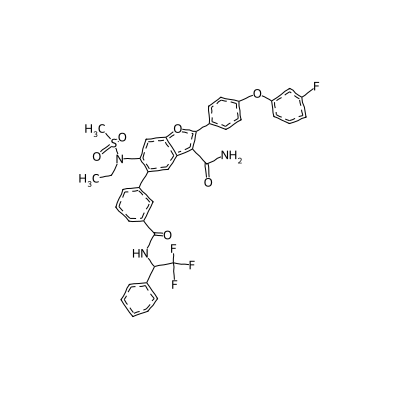 CCN(c1cc2oc(-c3ccc(Oc4cccc(F)c4)cc3)c(C(N)=O)c2cc1-c1cccc(C(=O)NC(c2ccccc2)C(F)(F)F)c1)S(C)(=O)=O